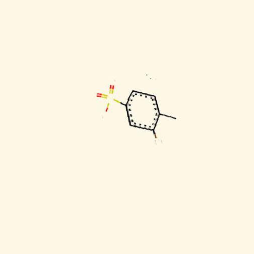 O=S(=O)([O-])c1ccc(C(F)(F)F)c(Br)c1.[Na+]